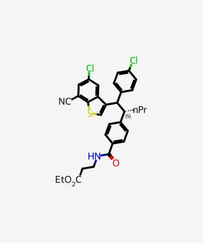 CCC[C@H](c1ccc(C(=O)NCCC(=O)OCC)cc1)C(c1ccc(Cl)cc1)c1csc2c(C#N)cc(Cl)cc12